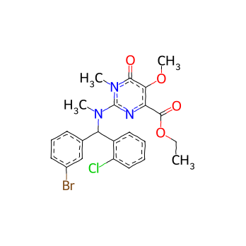 CCOC(=O)c1nc(N(C)C(c2cccc(Br)c2)c2ccccc2Cl)n(C)c(=O)c1OC